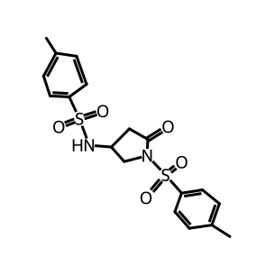 Cc1ccc(S(=O)(=O)NC2CC(=O)N(S(=O)(=O)c3ccc(C)cc3)C2)cc1